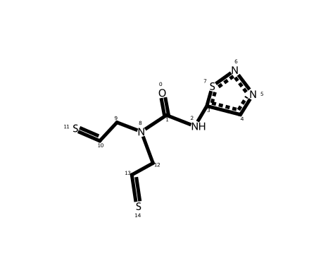 O=C(Nc1cnns1)N(CC=S)CC=S